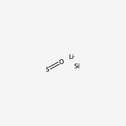 O=S.[Li].[Si]